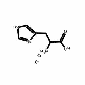 NC(Cc1c[nH]cn1)C(=O)O.[Cr].[Cr]